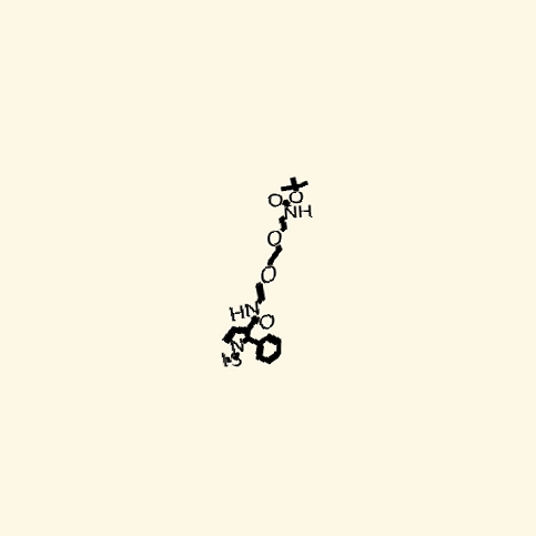 CC(C)(C)OC(=O)NCCOCCOCCNC(=O)C1=CCN(SI)C1c1ccccc1